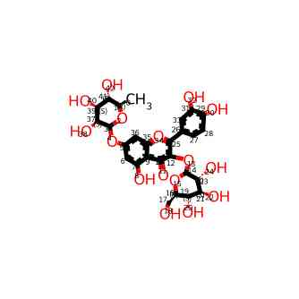 C[C@H]1OC(Oc2cc(O)c3c(=O)c(OC4O[C@H](CO)[C@@H](O)[C@H](O)[C@H]4O)c(-c4ccc(O)c(O)c4)oc3c2)[C@@H](O)[C@@H](O)[C@@H]1O